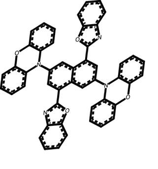 c1ccc2c(c1)Oc1ccccc1N2c1cc(-c2nc3ccccc3o2)c2cc(N3c4ccccc4Oc4ccccc43)cc(-c3nc4ccccc4o3)c2c1